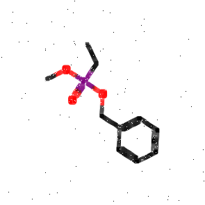 CCP(=O)(OC)OCc1ccccc1